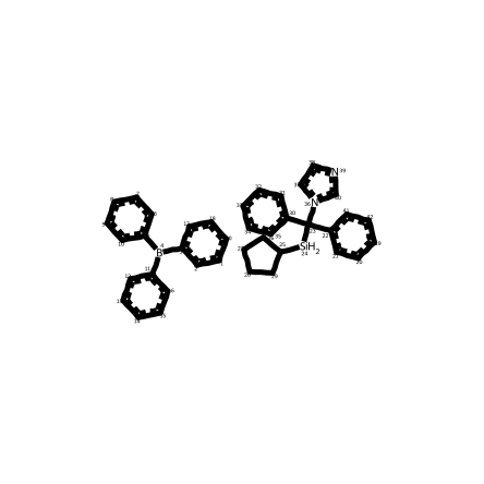 c1ccc(B(c2ccccc2)c2ccccc2)cc1.c1ccc(C([SiH2]C2CCCC2)(c2ccccc2)n2ccnc2)cc1